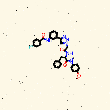 COc1ccc(N(C)C(=O)C(Cc2ccccc2)NC(=O)Cn2cc(-c3cccc(NC(=O)c4ccc(F)cc4)c3)nn2)cc1